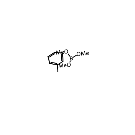 COB(OC)OC.Cc1ccccc1